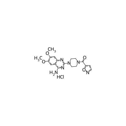 COc1cc2nc(N3CCN(C(=O)c4ccno4)CC3)nc(N)c2cc1OC.Cl